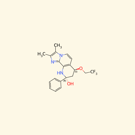 Cc1nc2c3c(ccn2c1C)[C@@H](OCC(F)(F)F)C[C@@](O)(c1ccccc1)N3